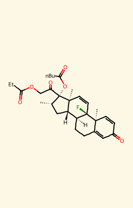 CCCCC(=O)O[C@@]1(C(=O)COC(=O)CC)[C@@H](C)C[C@H]2[C@@H]3CCC4=CC(=O)C=C[C@]4(C)[C@@]3(F)C=C[C@@]21C